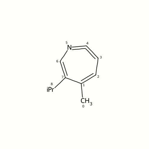 CC1=CC=C=NC=C1C(C)C